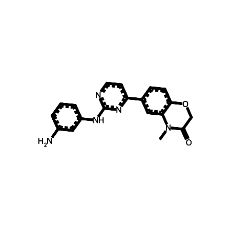 CN1C(=O)COc2ccc(-c3ccnc(Nc4cccc(N)c4)n3)cc21